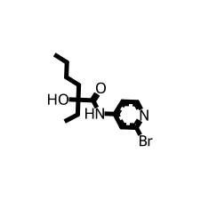 CCCCC(O)(CC)C(=O)Nc1ccnc(Br)c1